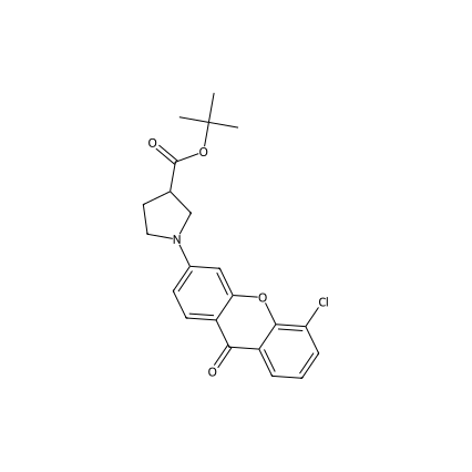 CC(C)(C)OC(=O)C1CCN(c2ccc3c(=O)c4cccc(Cl)c4oc3c2)C1